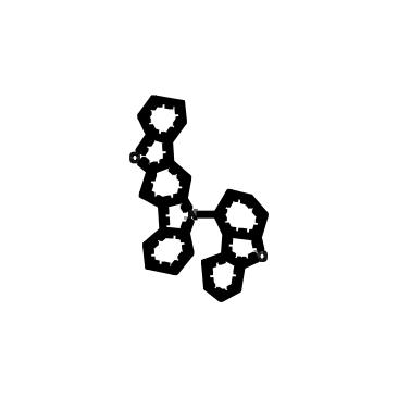 c1ccc2c(c1)oc1cc3c4ccccc4n(-c4cccc5oc6ccccc6c45)c3cc12